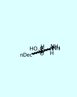 CC(=O)O.CCCCCCCCCCCCCCCCCC(=O)NCCCCCCNC(=N)N